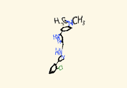 CN(C)c1ccc(-c2cc(CNc3cc(-c4ccccc4Cl)ccn3)n[nH]2)cc1